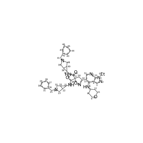 CCn1ncc2c(NC3CCOCC3)c(C3=NOC(C(=O)NC4C5CN(Cc6ccccc6)CC54)(C(=O)NC4C5CN(Cc6ccccc6)CC54)C3)cnc21